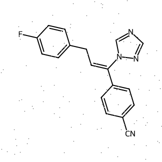 N#Cc1ccc(/C(=C/Cc2ccc(F)cc2)n2cncn2)cc1